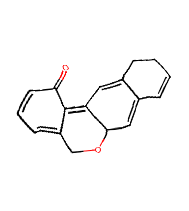 O=C1C=CC=C2COC3C=C4C=CCCC4=CC3=C12